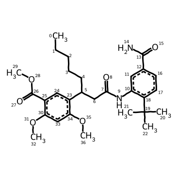 CCCCCC(CC(=O)Nc1cc(C(N)=O)ccc1C(C)(C)C)c1cc(C(=O)OC)c(OC)cc1OC